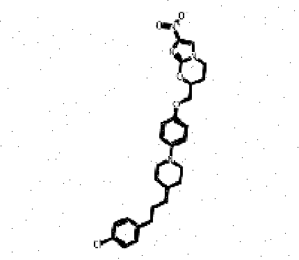 O=[N+]([O-])c1cn2c(n1)OC(COc1ccc(N3CCC(CCCc4ccc(Cl)cc4)CC3)cc1)CC2